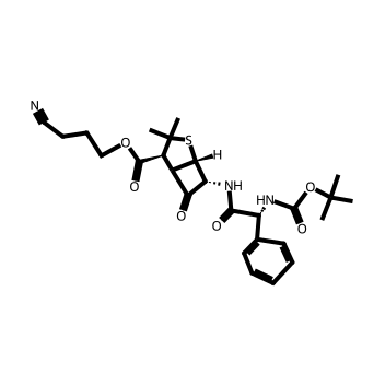 CC(C)(C)OC(=O)N[C@@H](C(=O)N[C@@H]1C(=O)C2[C@@H](C(=O)OCCCC#N)C(C)(C)S[C@@H]21)c1ccccc1